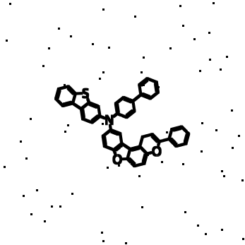 C1=C(c2ccccc2)Oc2ccc3oc4ccc(N(c5ccc(-c6ccccc6)cc5)c5ccc6c(c5)sc5ccccc56)cc4c3c2C1